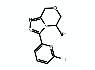 [2H]c1cccc(-c2nnc3n2C(C(C)C)COC3)n1